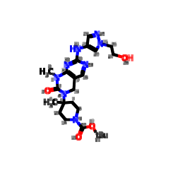 CN1C(=O)N(C2(C)CCN(C(=O)OC(C)(C)C)CC2)Cc2cnc(Nc3cnn(CCO)c3)nc21